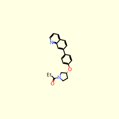 CCC(=O)N1CC[C@@H](Oc2ccc(-c3ccc4cccnc4c3)cc2)C1